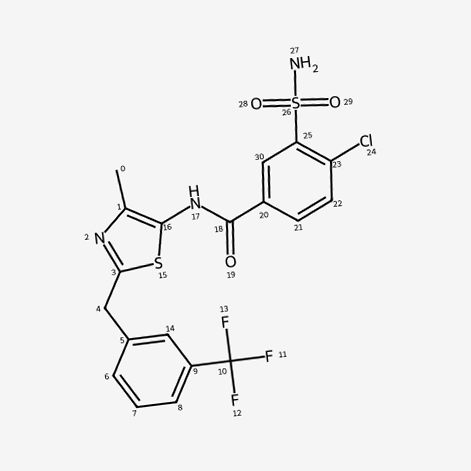 Cc1nc(Cc2cccc(C(F)(F)F)c2)sc1NC(=O)c1ccc(Cl)c(S(N)(=O)=O)c1